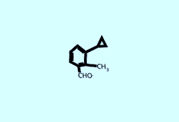 Cc1c([C]=O)cccc1C1CC1